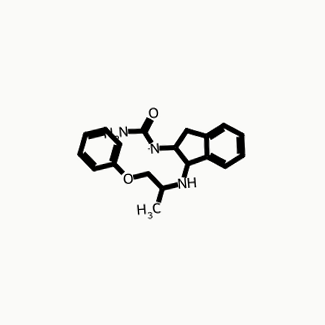 CC(COc1ccccc1)NC1c2ccccc2CC1[N]C(N)=O